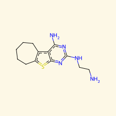 NCCNc1nc(N)c2c3c(sc2n1)CCCCC3